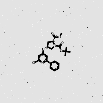 COC(=O)[C@@H]1C[C@@H](Oc2cc(Cl)nc(-c3ccccc3)c2)CN1C(=O)OC(C)(C)C